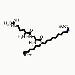 CCCCCCCC/C=C\CCCCCCCCN(CCCCCCCCCCCCCCCC)C(=O)C(N)CNC(=O)C(N)CCCNC(C)=N